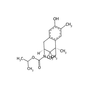 Cc1cc2c(cc1O)C[C@@H]1N(C(=O)OC(C)C)CC[C@@]2(C)C1(C)C